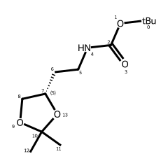 CC(C)(C)OC(=O)NCC[C@H]1COC(C)(C)O1